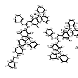 Cc1cc(CN(Cc2ccccn2)Cc2cc(C)cc(C3(C)c4ccccc4-c4ccccc43)c2[O-])c([O-])c(C2(C)c3ccccc3-c3ccccc32)c1.Cc1cc(CN(Cc2ccccn2)Cc2cc(C)cc(C3(C)c4ccccc4-c4ccccc43)c2[O-])c([O-])c(C2(C)c3ccccc3-c3ccccc32)c1.[Zr+4].c1ccc(CCc2ccccc2)cc1